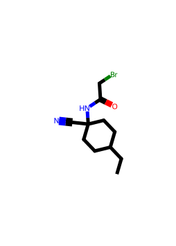 CCC1CCC(C#N)(NC(=O)CBr)CC1